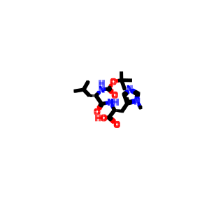 CC(C)C[C@H](NC(=O)OC(C)(C)C)C(=O)N[C@@H](Cc1cncn1C)C(=O)O